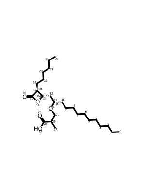 CCCCCCCCCCC[C@@H](C[C@@H]1OC(=O)[C@H]1CCCCCC)OCC(C)C(=O)O